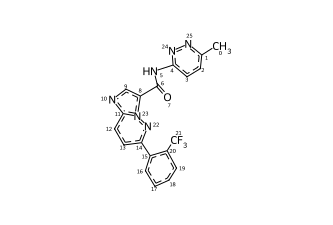 Cc1ccc(NC(=O)c2cnc3ccc(-c4ccccc4C(F)(F)F)nn23)nn1